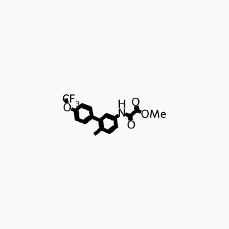 COC(=O)C(=O)Nc1ccc(C)c(-c2ccc(OC(F)(F)F)cc2)c1